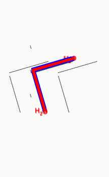 O.O.O.O.[N].[N].[N].[N].[N].[N].[N].[N].[N].[N].[N].[N].[N].[N].[N].[N].[N].[N].[N].[N].[N].[N].[N].[N].[N].[N].[N].[N].[N].[N].[N].[N].[N].[N].[N].[N].[N].[N].[N].[N].[N].[N].[N].[N].[N].[N].[N].[N].[N].[N].[N].[N].[N].[N].[N].[N].[N].[N].[N].[N].[N].[N].[N].[N].[N].[N].[N].[N].[N].[N].[N].[N].[N].[N].[N].[N].[N].[N].[N].[N].[N].[N].[N].[N].[N].[N].[N].[N].[N].[N].[N].[N].[N].[N].[N].[O]